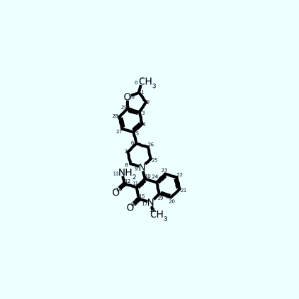 CC1Cc2cc(C3CCN(c4c(C(N)=O)c(=O)n(C)c5ccccc45)CC3)ccc2O1